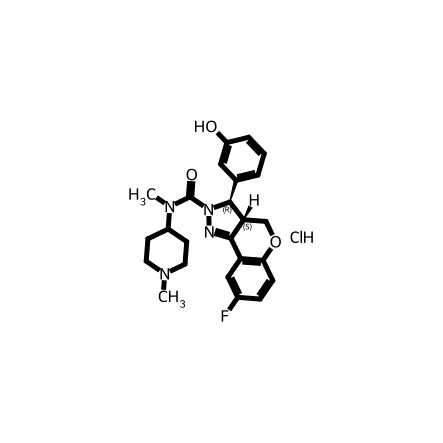 CN1CCC(N(C)C(=O)N2N=C3c4cc(F)ccc4OC[C@H]3[C@@H]2c2cccc(O)c2)CC1.Cl